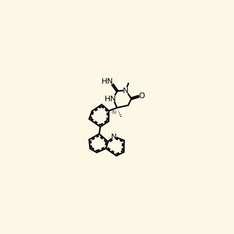 CN1C(=N)N[C@](C)(c2cccc(-c3cccc4cccnc34)c2)CC1=O